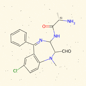 C[C@H](N)C(=O)NC1N=C(c2ccccc2)c2cc(Cl)ccc2N(C)C1C=O